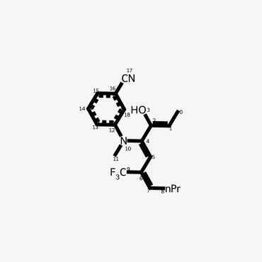 CC=C(O)/C(=C/C(=C\CCC)C(F)(F)F)N(C)c1cccc(C#N)c1